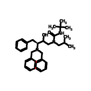 CC(C)CN(CC(O)[C@H](Cc1ccccc1)N(Cc1ccccc1)Cc1ccccc1)C(=O)NC(C)(C)C